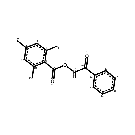 Cc1cc(C)c(C(=O)ONC(=O)c2ccccc2)c(C)c1